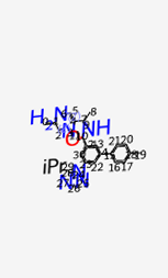 C=C/C=N\C(=C/N)C(C)NC(=O)c1cc(-c2ccc(C)cc2)cc(-n2ncnc2C(C)C)c1